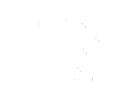 O=C(O)N1CCN(c2nccnc2-c2cccc(C(F)(F)F)c2F)CC1